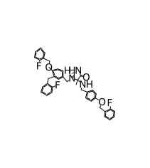 CC(NCc1ccc(OCc2ccccc2F)cc1)(NCc1ccc(OCc2ccccc2F)c(Cc2ccccc2F)c1)C(N)=O